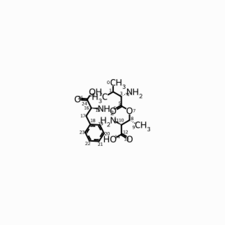 CC(C)[C@H](N)C(=O)O[C@H](C)[C@H](N)C(=O)O.N[C@@H](Cc1ccccc1)C(=O)O